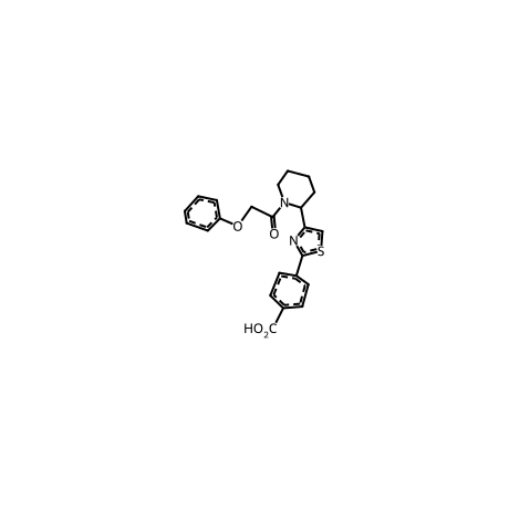 O=C(O)c1ccc(-c2nc(C3CCCCN3C(=O)COc3ccccc3)cs2)cc1